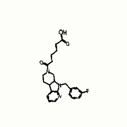 O=C(O)CCCCC(=O)N1CCC2c3cccnc3N(Cc3cccc(F)c3)C2C1